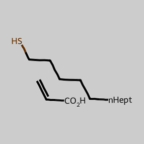 C=CC(=O)O.CCCCCCCCCCCCS